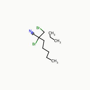 CCC.CCCCCC(Br)(C#N)CBr